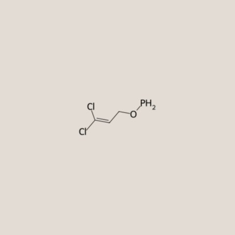 POCC=C(Cl)Cl